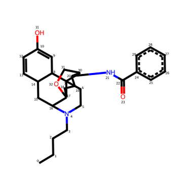 CCCCN1CCC23C4C=C(O)C=CC4CC1C21CCC(NC(=O)c2ccccc2)C3CO1